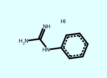 I.N=C(N)Nc1ccccc1